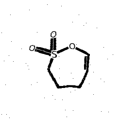 O=S1(=O)CCCC=CO1